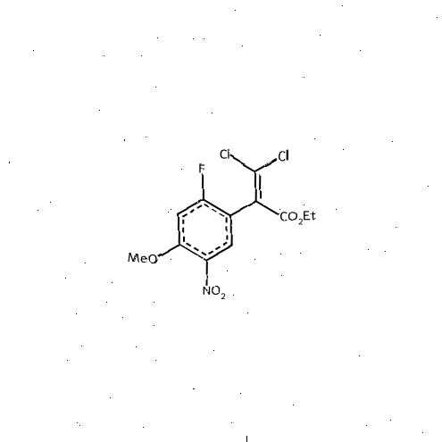 CCOC(=O)C(=C(Cl)Cl)c1cc([N+](=O)[O-])c(OC)cc1F